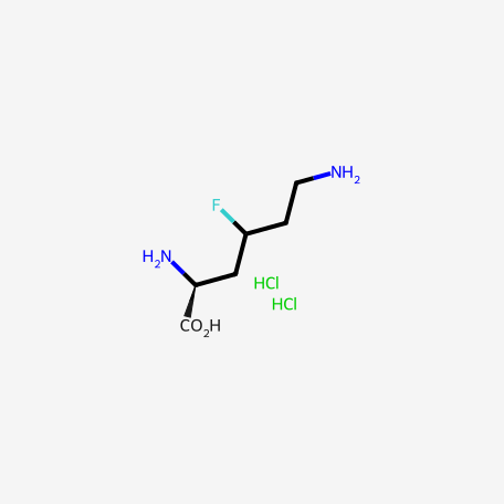 Cl.Cl.NCCC(F)C[C@H](N)C(=O)O